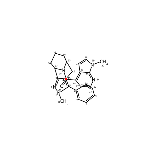 Cn1nc2c(c1-c1ccccc1)CC1CCCC2N1C(=O)c1ccnc2c1ccn2C